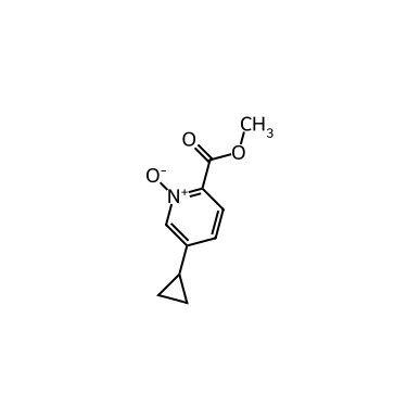 COC(=O)c1ccc(C2CC2)c[n+]1[O-]